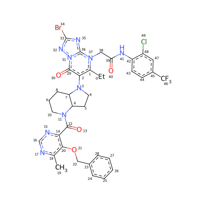 CCc1c(N2CCC3C2CCCN3C(=O)c2ncnc(C)c2OCc2ccccc2)c(=O)n2nc(Br)nc2n1CC(=O)Nc1ccc(C(F)(F)F)cc1Cl